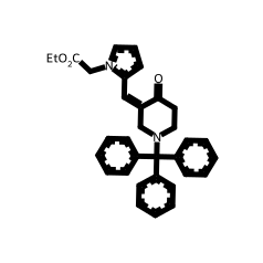 CCOC(=O)Cn1cccc1C=C1CN(C(c2ccccc2)(c2ccccc2)c2ccccc2)CCC1=O